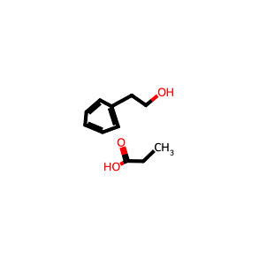 CCC(=O)O.OCCc1ccccc1